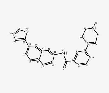 CN1CC=C(c2cc(C(=O)Nc3cc4cc(-c5cnco5)ncc4cn3)ccn2)CC1